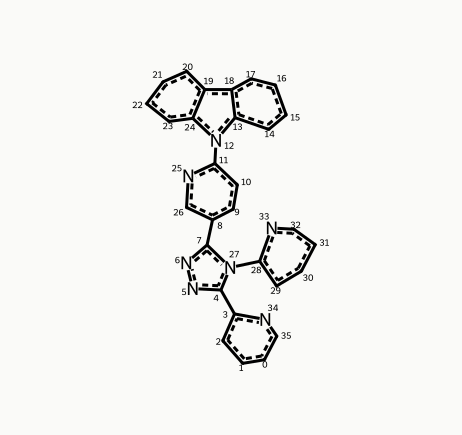 c1ccc(-c2nnc(-c3ccc(-n4c5ccccc5c5ccccc54)nc3)n2-c2ccccn2)nc1